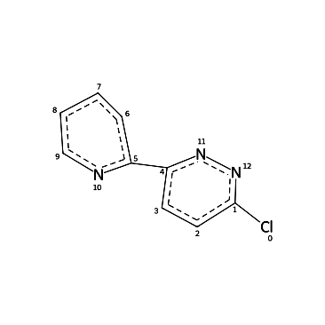 Clc1ccc(-c2ccccn2)nn1